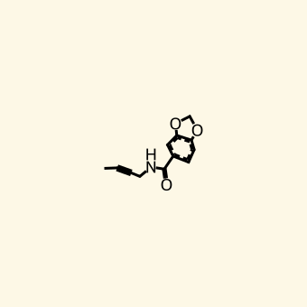 CC#CCNC(=O)c1ccc2c(c1)OCO2